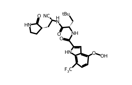 CC(C)(C)C[C@H](NC(=O)c1cc2c(OO)ccc(C(F)(F)F)c2[nH]1)C(=O)N[C@H](C#N)C[C@@H]1CCNC1=O